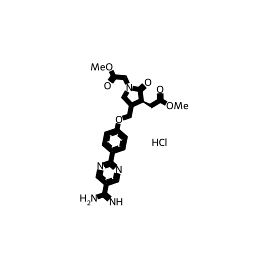 COC(=O)C[C@@H]1C(=O)N(CC(=O)OC)CC1COc1ccc(-c2ncc(C(=N)N)cn2)cc1.Cl